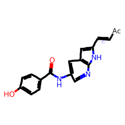 CC(=O)/C=C/c1cc2cc(NC(=O)c3ccc(O)cc3)cnc2[nH]1